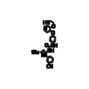 CC(C)(C)c1cc(NC(=O)Nc2ccc(Oc3ccnc4c3OCCN4)cc2)n(-c2cccc(C#N)c2)n1